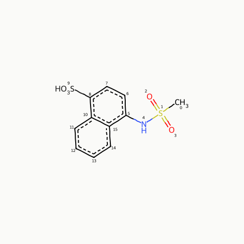 CS(=O)(=O)Nc1ccc(S(=O)(=O)O)c2ccccc12